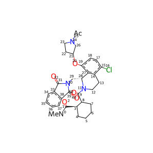 CNC(=O)[C@@H]1CCCCC1C(=O)N1CCc2c(Cl)ccc(OC3CCN(C(C)=O)C3)c2[C@H]1CN1C(=O)c2ccccc2C1=O